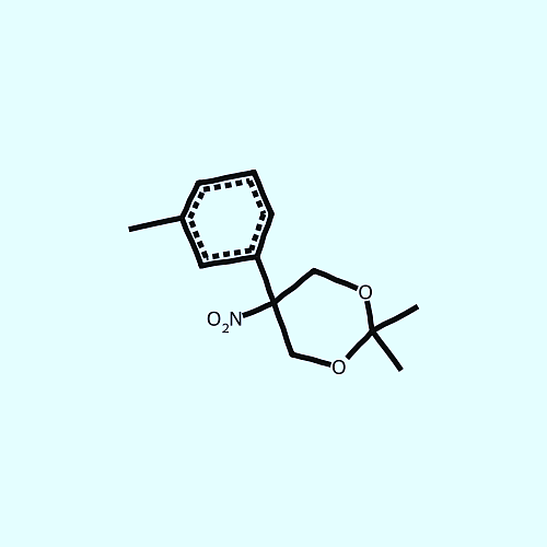 Cc1cccc(C2([N+](=O)[O-])COC(C)(C)OC2)c1